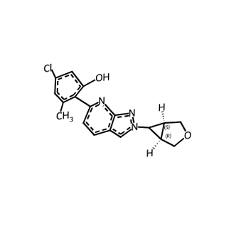 Cc1cc(Cl)cc(O)c1-c1ccc2cn(C3[C@H]4COC[C@@H]34)nc2n1